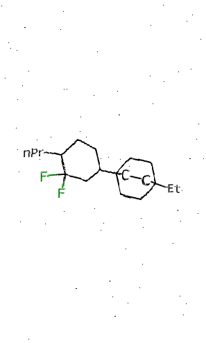 CCCC1CCC(C23CCC(CC)(CC2)CC3)CC1(F)F